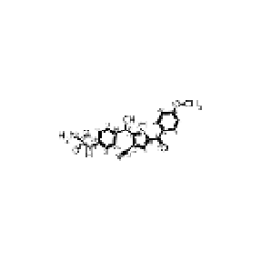 COc1ccc(C(=O)c2cc(C#N)c(C(C)c3ccc(NS(N)(=O)=O)cc3)[nH]2)cc1